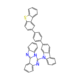 c1ccc2c(c1)nc(-n1c3ccccc3c3ccc(-c4ccc(-c5ccc6sc7ccccc7c6c5)cc4)cc31)n1c3ccccc3nc21